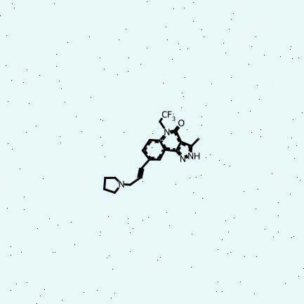 Cc1[nH]nc2c1c(=O)n(CC(F)(F)F)c1ccc(C#CCN3CCCC3)cc21